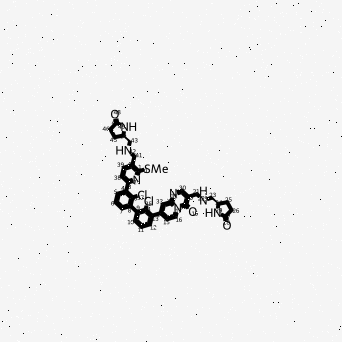 CSc1nc(-c2cccc(-c3cccc(-c4ccn5c(=O)c(CNC[C@H]6CCC(=O)N6)cnc5c4)c3Cl)c2Cl)ccc1CNC[C@H]1CCC(=O)N1